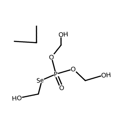 CCC.O=P(OCO)(OCO)[Se]CO